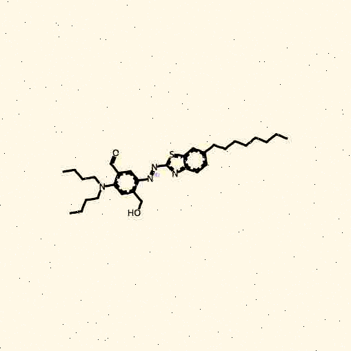 CCCCCCCCc1ccc2nc(/N=N/c3cc(C=O)c(N(CCCC)CCCC)cc3CO)sc2c1